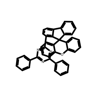 c1ccc(-c2nc(-c3ccccc3)nc(-c3cccc4c3C3(c5ccccc5Oc5ccccc53)c3ccccc3-4)n2)cc1